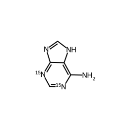 Nc1[15n]c[15n]c2nc[nH]c12